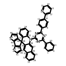 c1ccc(-c2nc(-c3ccc(-c4ccccn4)cc3)nc(N3c4ccccc4C4(c5cc6ccccc6cc53)c3ccsc3-c3sccc34)n2)cc1